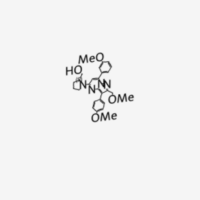 COCc1nn2c(-c3cccc(OC)c3)cc(N3CCC[C@H]3CO)nc2c1-c1ccc(OC)cc1